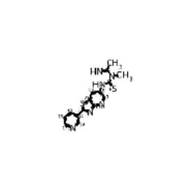 CC(=N)N(C)C(=S)Nc1cnc2nc(-c3cccnc3)sc2c1